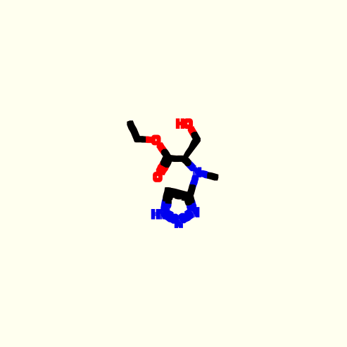 CCOC(=O)[C@@H](CO)N(C)c1c[nH]nn1